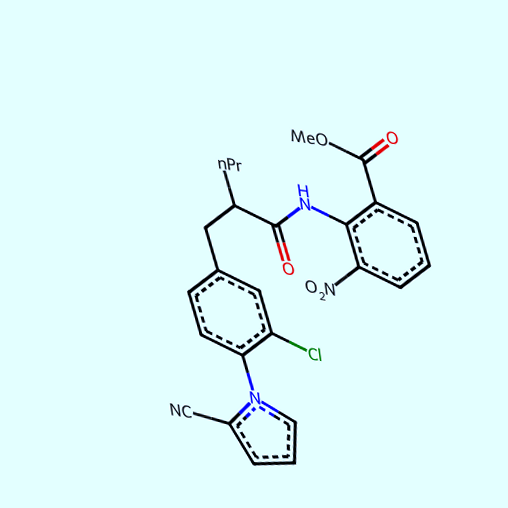 CCCC(Cc1ccc(-n2cccc2C#N)c(Cl)c1)C(=O)Nc1c(C(=O)OC)cccc1[N+](=O)[O-]